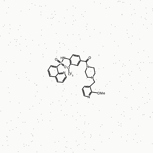 COc1ncccc1CN1CCN(C(=O)c2ccc(NS(=O)(=O)c3cccc4cccnc34)c(OC(F)(F)F)c2)CC1